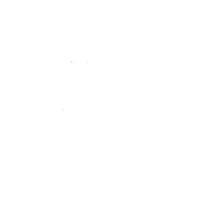 C=C(C)C(=O)O.C=C(C)C(=O)OCC1CO1.C=CC(=O)Oc1ccc(C(=O)C(C#N)=Cc2ccc(OC)cc2)cc1